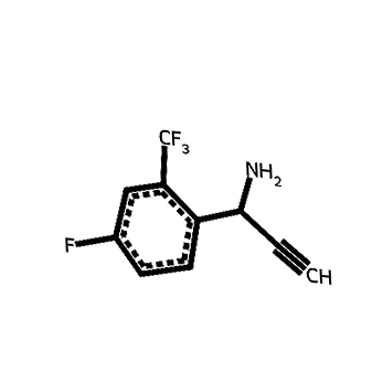 C#CC(N)c1ccc(F)cc1C(F)(F)F